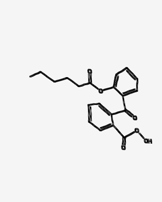 CCCCCC(=O)Oc1ccccc1C(=O)c1ccccc1C(=O)OO